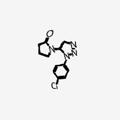 O=C1CCCN1C1CN=NN1c1ccc(Cl)cc1